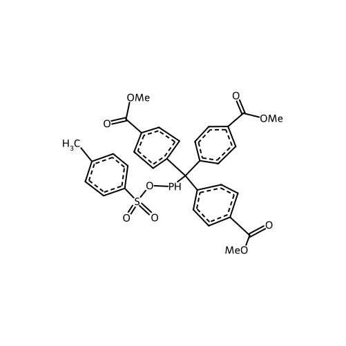 COC(=O)c1ccc(C(POS(=O)(=O)c2ccc(C)cc2)(c2ccc(C(=O)OC)cc2)c2ccc(C(=O)OC)cc2)cc1